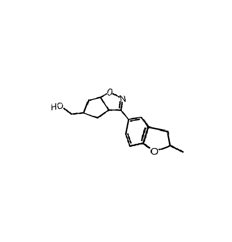 CC1Cc2cc(C3=NOC4CC(CO)CC34)ccc2O1